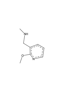 CNCc1cccnc1OC